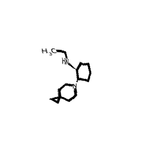 CCN[C@H]1CCCC[C@@H]1N1CCC2(CC1)CC2